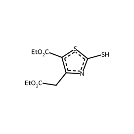 CCOC(=O)Cc1nc(S)sc1C(=O)OCC